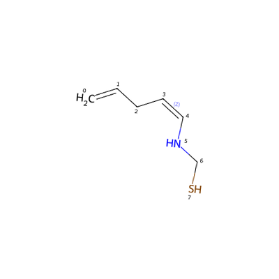 C=CC/C=C\NCS